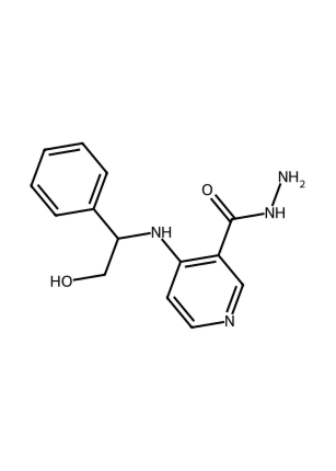 NNC(=O)c1cnccc1NC(CO)c1ccccc1